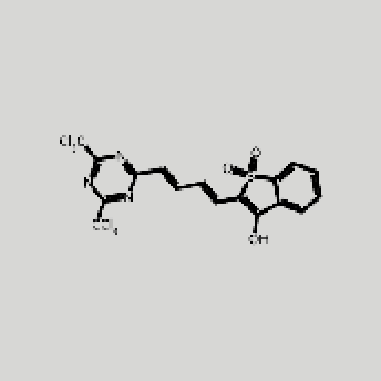 O=S1(=O)C(C=CC=Cc2nc(C(Cl)(Cl)Cl)nc(C(Cl)(Cl)Cl)n2)=C(O)c2ccccc21